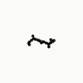 c1ccc(-c2cc(-c3ccc(-c4ccc5oc6ccccc6c5c4)cc3)nc(-c3ccc(-c4cn5cc(-c6cccc7c6oc6ccc(-c8ccc(-c9cc(-c%10ccccc%10)nc(-c%10ccc(-c%11nc%12ccccc%12n%11-c%11ccccc%11)cc%10)n9)cc8)cc67)ccc5n4)cc3)n2)cc1